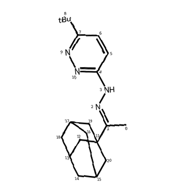 CC(=NNc1ccc(C(C)(C)C)nn1)C12CC3CC(CC(C3)C1)C2